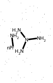 CCCN.NN(N)N